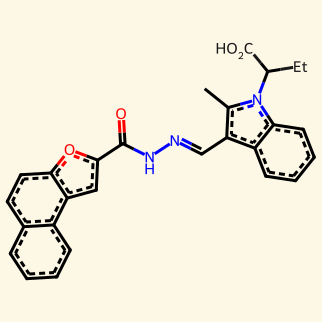 CCC(C(=O)O)n1c(C)c(/C=N/NC(=O)c2cc3c(ccc4ccccc43)o2)c2ccccc21